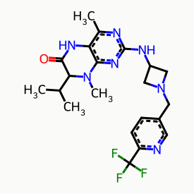 Cc1nc(NC2CN(Cc3ccc(C(F)(F)F)nc3)C2)nc2c1NC(=O)C(C(C)C)N2C